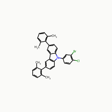 Cc1cccc(C)c1-c1ccc2c(c1)c1cc(-c3c(C)cccc3C)ccc1n2-c1ccc(Cl)c(Br)c1